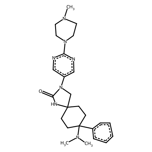 CN1CCN(c2ncc(N3CC4(CCC(c5ccccc5)(N(C)C)CC4)NC3=O)cn2)CC1